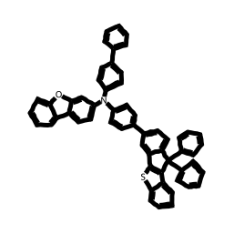 c1ccc(-c2ccc(N(c3ccc(-c4ccc5c(c4)-c4sc6ccccc6c4C5(c4ccccc4)c4ccccc4)cc3)c3ccc4c(c3)oc3ccccc34)cc2)cc1